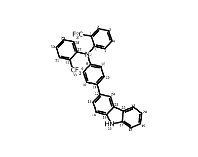 FC(F)(F)c1ccccc1N(c1ccc(-c2ccc3[nH]c4ccccc4c3c2)cc1)c1ccccc1C(F)(F)F